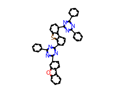 c1ccc(-c2nc(-c3ccc4c(c3)oc3ccccc34)nc(-c3cccc4c3sc3cccc(-c5nc(-c6ccccc6)nc(-c6ccccc6)n5)c34)n2)cc1